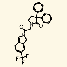 O=C(CN1CCC(c2ccccc2)(c2ccccc2)C1=O)N1C=C2CC=C(C(F)(F)F)C=C2C1